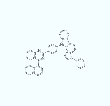 c1ccc(-n2ccc3c2ccc2c4ccccc4n(-c4ccc(-c5nc(-c6cccc7ccccc67)c6ccccc6n5)cc4)c23)cc1